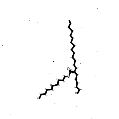 CCCCCCCCCCCCCCC(CCCCCC)C(=O)OCCCCCCCCCC